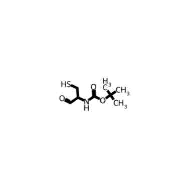 CC(C)(C)OC(=O)NC(C=O)CS